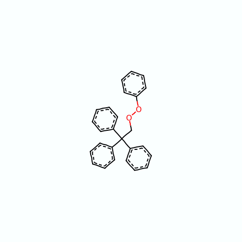 c1ccc(OOCC(c2ccccc2)(c2ccccc2)c2ccccc2)cc1